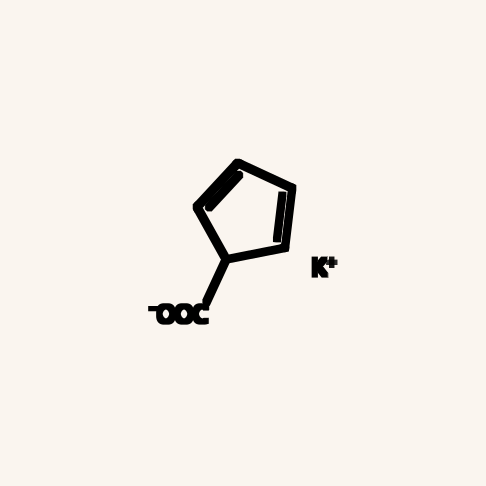 O=C([O-])C1C=CC=C1.[K+]